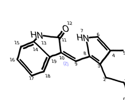 CC(=O)CCc1c(C)c[nH]c1/C=C1\C(=O)Nc2ccccc21